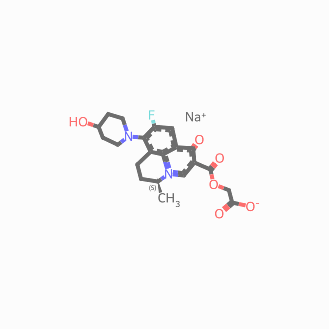 C[C@H]1CCc2c(N3CCC(O)CC3)c(F)cc3c(=O)c(C(=O)OCC(=O)[O-])cn1c23.[Na+]